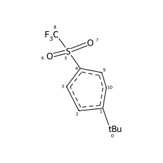 CC(C)(C)c1ccc(S(=O)(=O)C(F)(F)F)cc1